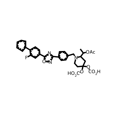 CC(=O)OC(C)C1CC(OC(=O)O)(OC(=O)O)CCN1Cc1ccc(-c2noc(-c3ccc(-c4ccccc4)c(F)c3)n2)cc1